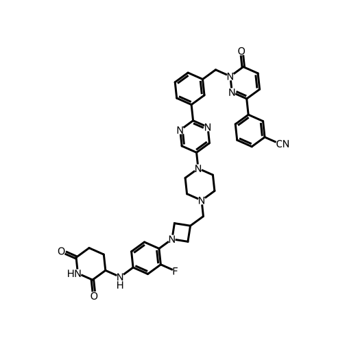 N#Cc1cccc(-c2ccc(=O)n(Cc3cccc(-c4ncc(N5CCN(CC6CN(c7ccc(NC8CCC(=O)NC8=O)cc7F)C6)CC5)cn4)c3)n2)c1